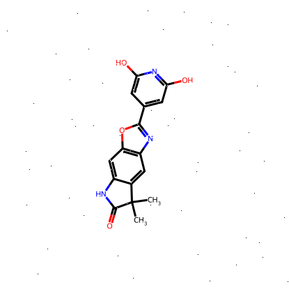 CC1(C)C(=O)Nc2cc3oc(-c4cc(O)nc(O)c4)nc3cc21